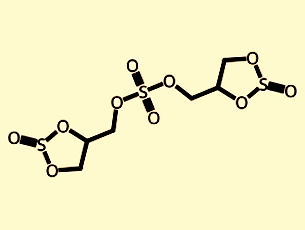 O=S1OCC(COS(=O)(=O)OCC2COS(=O)O2)O1